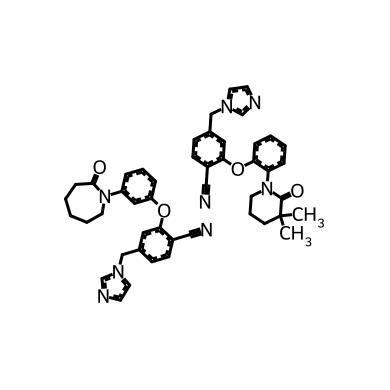 CC1(C)CCCN(c2ccccc2Oc2cc(Cn3ccnc3)ccc2C#N)C1=O.N#Cc1ccc(Cn2ccnc2)cc1Oc1cccc(N2CCCCCC2=O)c1